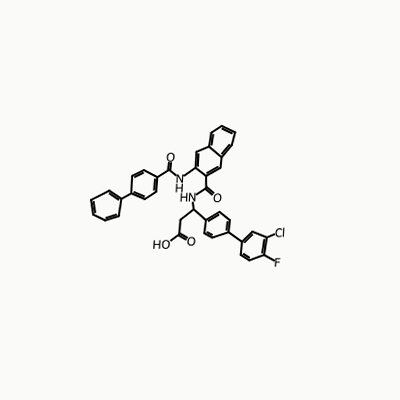 O=C(O)CC(NC(=O)c1cc2ccccc2cc1NC(=O)c1ccc(-c2ccccc2)cc1)c1ccc(-c2ccc(F)c(Cl)c2)cc1